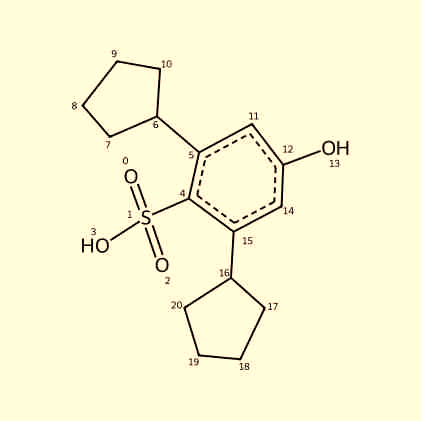 O=S(=O)(O)c1c(C2CCCC2)cc(O)cc1C1CCCC1